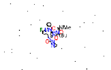 CN[C@@H](C)C(=O)N[C@H](C(=O)N1C[C@@H](NC(=O)c2ccccc2)C[C@H]1CN(CCc1ccc(F)cc1)C(=O)c1cn2c(n1)CCC2)C(C)(C)C